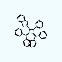 c1ccc(C(=C2C(=C(c3ccccc3)c3ccccc3)C(c3cc4ccccc4s3)=C2c2cccnc2)c2ccccc2)cc1